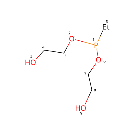 CCP(OCCO)OCCO